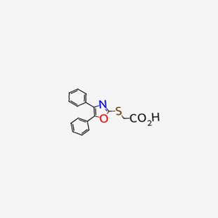 O=C(O)CSc1nc(-c2ccccc2)c(-c2ccccc2)o1